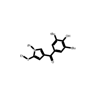 CCSc1cc(C(=O)c2cc(C(C)(C)C)c(O)c(C(C)(C)C)c2)cn1C(C)C